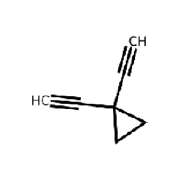 C#CC1(C#C)CC1